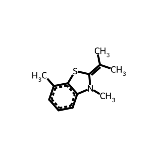 CC(C)=C1Sc2c(C)cccc2N1C